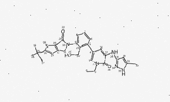 CCn1cc(-c2cccc(N3Cc4cc(C(C)(C)C)sc4C3=O)c2CO)cc(Nc2cc(C)[nH]n2)c1=O